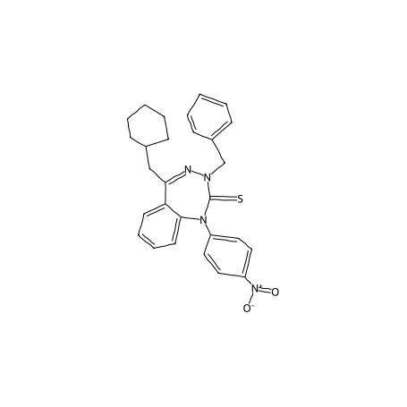 O=[N+]([O-])c1ccc(N2C(=S)N(Cc3ccccc3)N=C(CC3CCCCC3)c3ccccc32)cc1